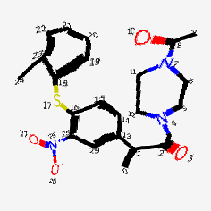 C=C(C(=O)N1CCN(C(C)=O)CC1)c1ccc(Sc2ccccc2C)c([N+](=O)[O-])c1